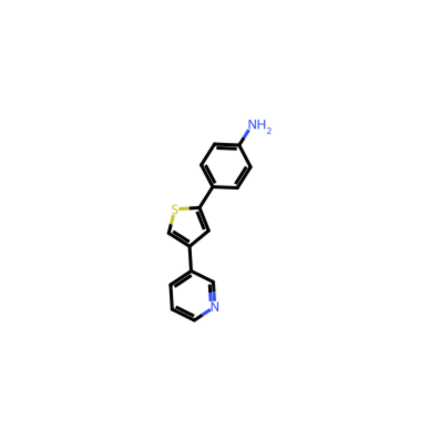 Nc1ccc(-c2cc(-c3cccnc3)cs2)cc1